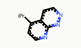 CC(C)c1ccnc2nnccc12